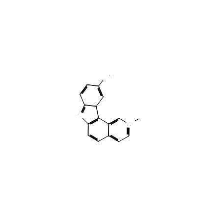 COC1=CC2C(=Nc3ccc4cc[n+](C)cc4c32)C=C1.[I-]